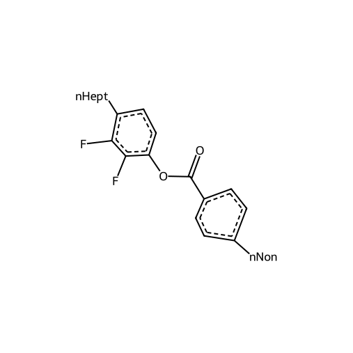 CCCCCCCCCc1ccc(C(=O)Oc2ccc(CCCCCCC)c(F)c2F)cc1